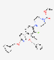 Cc1c(-c2ccc(OCc3ccccc3)nc2OCc2ccccc2)ccc(N2CCN(C(=O)OC(C)(C)C)CC2)c1F